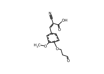 COc1cc(C=C(C#N)C(=O)O)ccc1OCCC=O